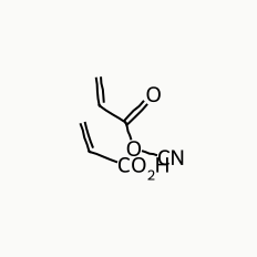 C=CC(=O)O.C=CC(=O)OC#N